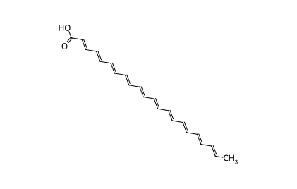 CC=CC=CC=CC=CC=CC=CC=CC=CC=CC=CC(=O)O